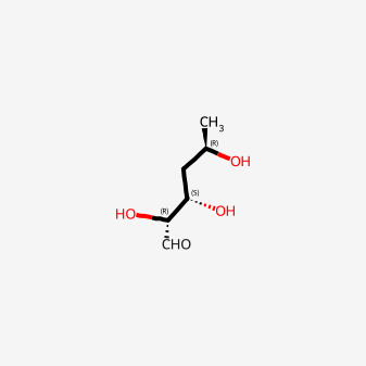 C[C@@H](O)C[C@H](O)[C@@H](O)C=O